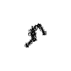 Cn1c2nc(Cc3ccn(COCC[Si](C)(C)C)n3)sc2c2cnn(Cc3nccn3COCC[Si](C)(C)C)c(=O)c21